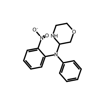 O=[N+]([O-])c1ccccc1N(c1ccccc1)C1COCCN1